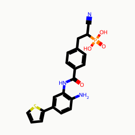 N#CC(Cc1ccc(C(=O)Nc2cc(-c3cccs3)ccc2N)cc1)P(=O)(O)O